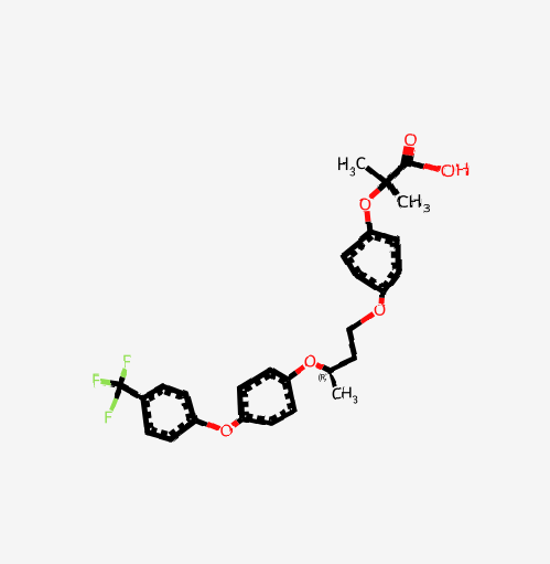 C[C@H](CCOc1ccc(OC(C)(C)C(=O)O)cc1)Oc1ccc(Oc2ccc(C(F)(F)F)cc2)cc1